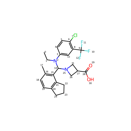 CCN(c1ccc(Cl)c(C(F)(F)F)c1)C(c1c(C)ccc2c1CCC2)N1CC(C(=O)O)C1